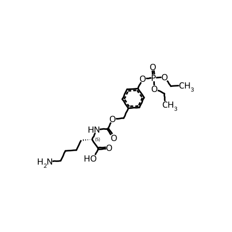 CCOP(=O)(OCC)Oc1ccc(COC(=O)N[C@@H](CCCCN)C(=O)O)cc1